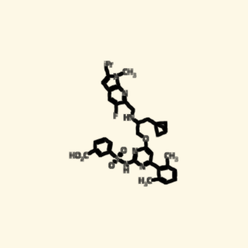 Cc1cccc(C)c1-c1cc(OCC(CC23CC(C2)C3)NCc2nc3c(cc2F)cc(C(C)C)n3C)nc(NS(=O)(=O)c2cccc(C(=O)O)c2)n1